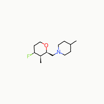 CC1CCN(C[C@@H]2OCC[C@H](F)[C@@H]2C)CC1